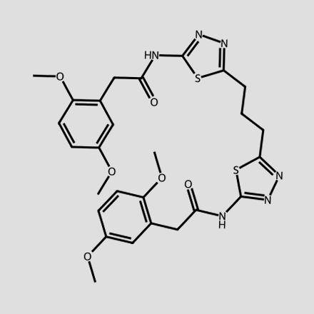 COc1ccc(OC)c(CC(=O)Nc2nnc(CCCc3nnc(NC(=O)Cc4cc(OC)ccc4OC)s3)s2)c1